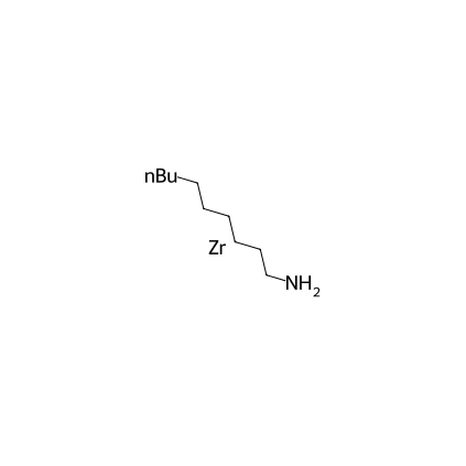 CCCCCCCCCCN.[Zr]